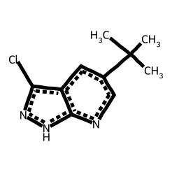 CC(C)(C)c1cnc2[nH]nc(Cl)c2c1